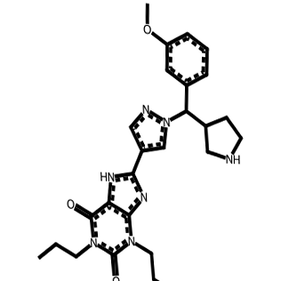 CCCn1c(=O)c2[nH]c(-c3cnn(C(c4cccc(OC)c4)C4CCNC4)c3)nc2n(CCC)c1=O